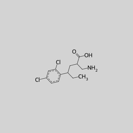 CCC(CC(CN)C(=O)O)c1ccc(Cl)cc1Cl